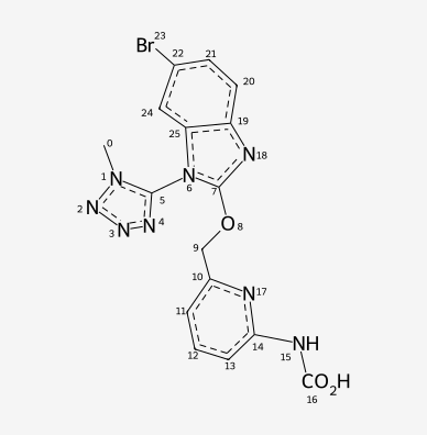 Cn1nnnc1-n1c(OCc2cccc(NC(=O)O)n2)nc2ccc(Br)cc21